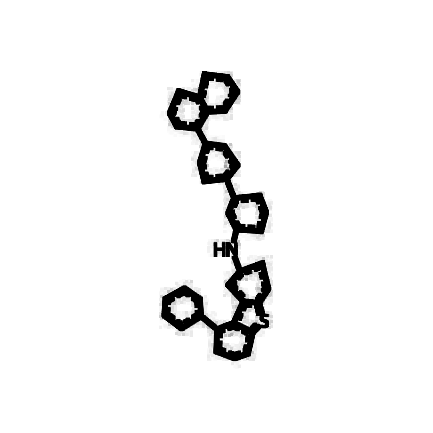 c1ccc(-c2cccc3sc4ccc(Nc5cccc(-c6ccc(-c7cccc8ccccc78)cc6)c5)cc4c23)cc1